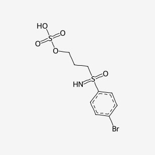 N=S(=O)(CCCOS(=O)(=O)O)c1ccc(Br)cc1